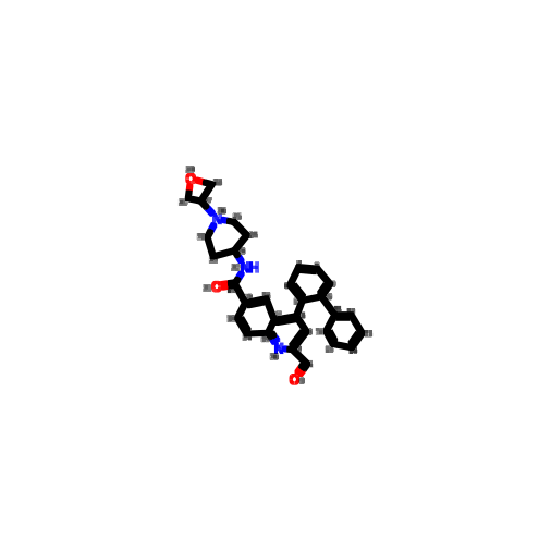 O=Cc1cc(-c2ccccc2-c2ccccc2)c2cc(C(=O)NC3CCN(C4COC4)CC3)ccc2n1